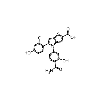 NC(=O)c1ccc(-n2c(-c3ccc(O)cc3Cl)cc3sc(C(=O)O)cc32)cc1O